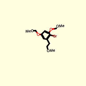 COCCc1cc(OCOC)cc(OCOC)c1Br